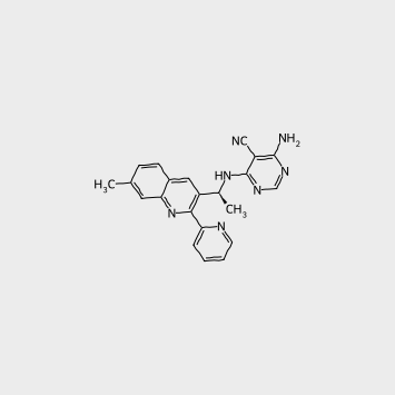 Cc1ccc2cc([C@H](C)Nc3ncnc(N)c3C#N)c(-c3ccccn3)nc2c1